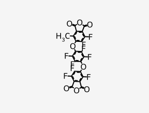 Cc1c(Oc2c(F)c(F)c(Oc3c(F)c(F)c4c(c3F)C(=O)OC4=O)c(F)c2F)c(F)c(F)c2c1C(=O)OC2=O